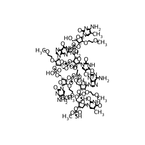 COCCOC1[C@@H](OP(=O)(O)OC[C@H]2O[C@@H](n3cnc4c(N)ncnc43)C(OCCOC)[C@H]2OP(=O)(S)OC[C@H]2O[C@@H](n3cc(C)c(=O)[nH]c3=O)C[C@H]2OP(=O)(S)OC)[C@@H](COP(=O)(O)O[C@@H]2C(OCCOC)[C@H](n3cnc4c(=O)[nH]c(N)nc43)O[C@@H]2COP(=O)(O)O[C@@H]2C(OCCOC)[C@H](n3cc(C)c(=O)[nH]c3=O)O[C@@H]2COP(=O)(S)O[C@@H]2C(OCCOC)[C@H](n3cc(C)c(N)nc3=O)O[C@@H]2CO)O[C@H]1n1cc(C)c(N)nc1=O